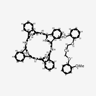 COc1ccccc1O[CH2][Cu][CH2]Oc1ccccc1OC.c1ccc2c(c1)-c1nc-2nc2[nH]c(nc3nc(nc4[nH]c(n1)c1ccccc41)-c1ccccc1-3)c1ccccc21